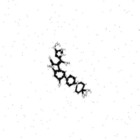 COc1cc(/C(O)=C2\C(=O)Nc3cc(Cl)c(-c4ccc(N5CCC(C)(O)CC5)cc4)cc32)on1